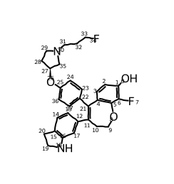 Oc1ccc2c(c1F)OCCC(c1ccc3c(c1)NCC3)=C2c1ccc(O[C@H]2CCN(CCCF)C2)cc1